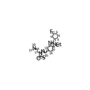 CCn1c(-c2cccc(F)c2)nc2cc(C3=NN(CCN(C)C)C(=O)SC3)ccc21